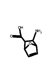 NC1C2C=CC(O2)C1C(=O)O